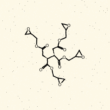 O=C(C[C@H](C(=O)OCC1CO1)[C@@H](CC(=O)OCC1CO1)C(=O)OCC1CO1)OCC1CO1